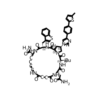 CC[C@H](C)[C@@H]1NC(=O)[C@H](CC(N)=O)NC(=O)CCC(=O)NCCCC[C@@H](C(N)=O)NC(=O)[C@H](Cc2csc3ccccc23)NC(=O)[C@@H]2C[C@H](n3cc(-c4ccc(-c5ccc(C)s5)cc4)nn3)CN2C1=O